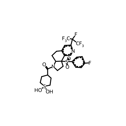 O=C(C1CCS(O)(O)CC1)N1CCC2(S(=O)(=O)c3ccc(F)cc3)c3cnc(C(F)(C(F)(F)F)C(F)(F)F)cc3CCC12